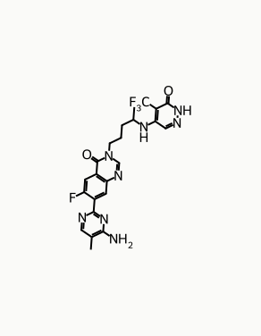 Cc1cnc(-c2cc3ncn(CCCC(C)Nc4cn[nH]c(=O)c4C(F)(F)F)c(=O)c3cc2F)nc1N